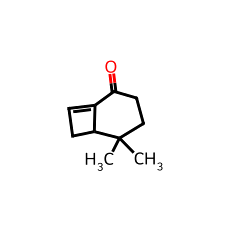 CC1(C)CCC(=O)C2=CCC21